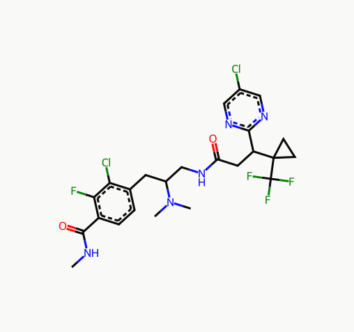 CNC(=O)c1ccc(CC(CNC(=O)CC(c2ncc(Cl)cn2)C2(C(F)(F)F)CC2)N(C)C)c(Cl)c1F